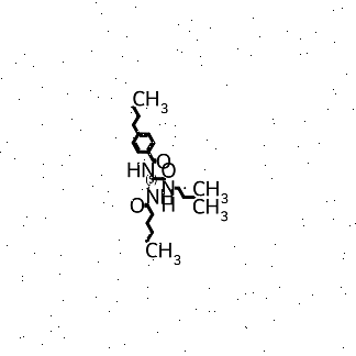 CCCCCC(=O)NC[C@H](NC(=O)c1ccc(CCCC)cc1)C(=O)N[CH]CC(C)C